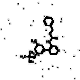 C[C@H]1CC(c2ccncc2NC(=O)OCc2ccccc2)=C[C@@H](O[Si](C)(C)C(C)(C)C)C1